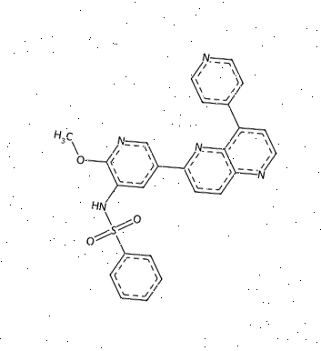 COc1ncc(-c2ccc3nccc(-c4ccncc4)c3n2)cc1NS(=O)(=O)c1ccccc1